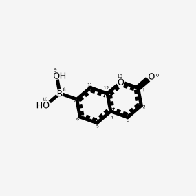 O=c1ccc2ccc(B(O)O)cc2o1